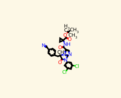 CC(C)(C)OC(=O)C1(NC(=O)c2cnc3n2[C@](C)(Cc2ccc(C#N)cc2)C(=O)N3c2cc(Cl)cc(Cl)c2)CC1